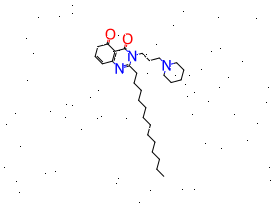 CCCCCCCCCCCCCc1nc2c(c(=O)n1CCCN1CCCCC1)C(=O)CC=C2